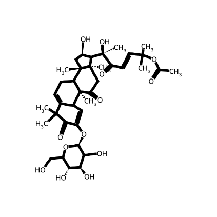 CC(=O)OC(C)(C)/C=C/C(=O)[C@](C)(O)C1[C@H](O)C[C@@]2(C)C3CC=C4C(C=C(O[C@@H]5OC(CO)[C@@H](O)[C@H](O)C5O)C(=O)C4(C)C)[C@]3(C)C(=O)C[C@]12C